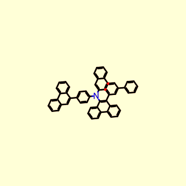 c1ccc(-c2cccc(-c3c(N(c4ccc(-c5cc6ccccc6c6ccccc56)cc4)c4ccc5ccccc5c4)c4ccccc4c4ccccc34)c2)cc1